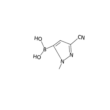 Cn1nc(C#N)cc1B(O)O